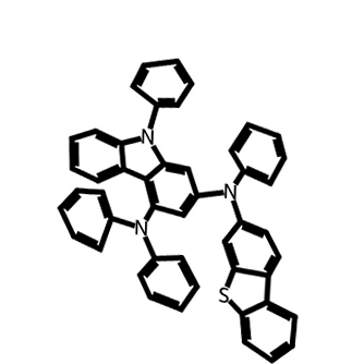 c1ccc(N(c2ccc3c(c2)sc2ccccc23)c2cc(N(c3ccccc3)c3ccccc3)c3c4ccccc4n(-c4ccccc4)c3c2)cc1